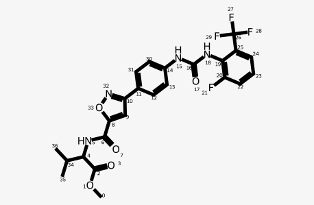 COC(=O)C(NC(=O)c1cc(-c2ccc(NC(=O)Nc3c(F)cccc3C(F)(F)F)cc2)no1)C(C)C